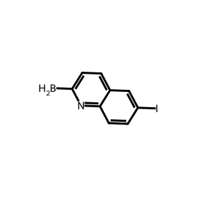 Bc1ccc2cc(I)ccc2n1